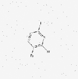 Brc1ccc(I)nc1Br